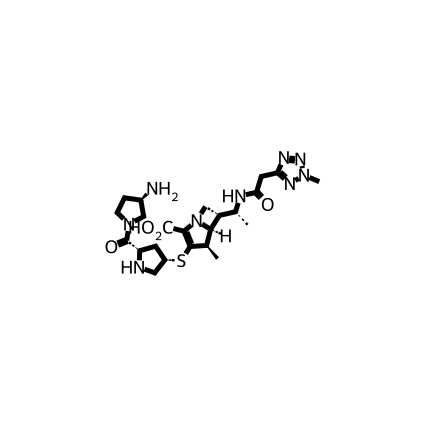 C[C@@H](NC(=O)Cc1nnn(C)n1)[C@H]1CN2C(C(=O)O)=C(S[C@@H]3CN[C@H](C(=O)N4CC[C@@H](N)C4)C3)[C@H](C)[C@H]12